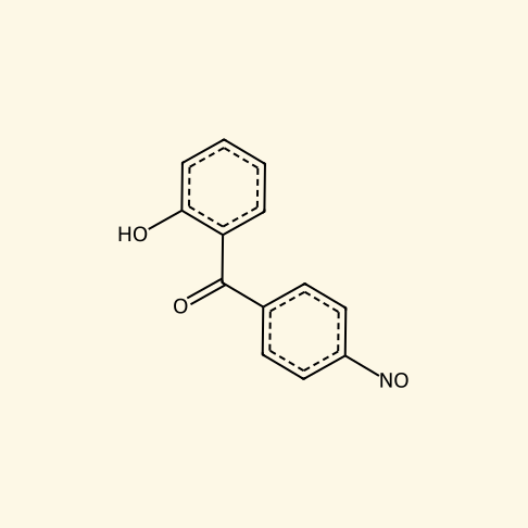 O=Nc1ccc(C(=O)c2ccccc2O)cc1